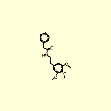 COc1cc(CCNC(=O)Cc2ccccc2)cc(OC)c1OC